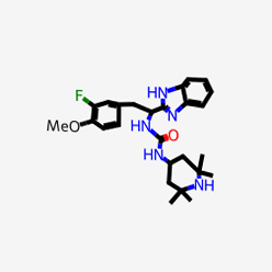 COc1ccc(CC(NC(=O)NC2CC(C)(C)NC(C)(C)C2)c2nc3ccccc3[nH]2)cc1F